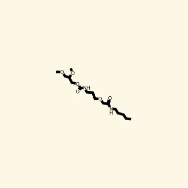 CCCCCNC(=O)COCCCNC(=O)OCC(COC)OC